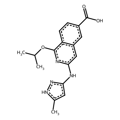 Cc1cc(Nc2cc3cc(C(=O)O)ccc3c(OC(C)C)n2)n[nH]1